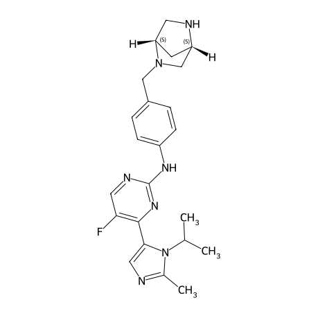 Cc1ncc(-c2nc(Nc3ccc(CN4C[C@@H]5C[C@H]4CN5)cc3)ncc2F)n1C(C)C